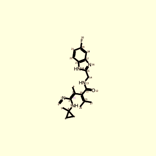 C=N/C(NC1(C)CC1)=C(\C)C(C(=O)NCc1nc2cc(F)ccc2[nH]1)=C(C)C